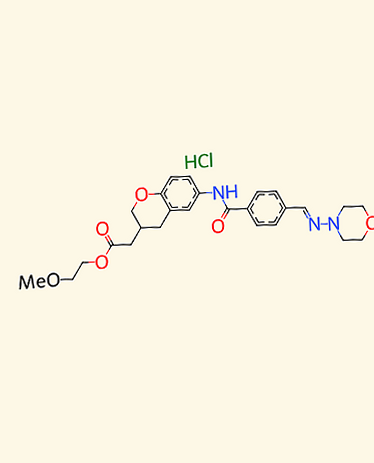 COCCOC(=O)CC1COc2ccc(NC(=O)c3ccc(/C=N/N4CCOCC4)cc3)cc2C1.Cl